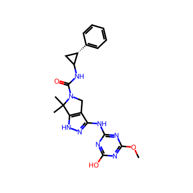 COc1nc(O)nc(Nc2n[nH]c3c2CN(C(=O)NC2C[C@@H]2c2ccccc2)C3(C)C)n1